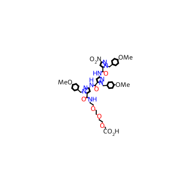 COc1ccc(Cn2nc(NC(=O)c3cc(NC(=O)c4cc([N+](=O)[O-])nn4Cc4ccc(OC)cc4)nn3Cc3ccc(OC)cc3)cc2C(=O)NCCOCCOCCOCC(=O)O)cc1